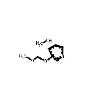 CC.COCOc1cccnc1